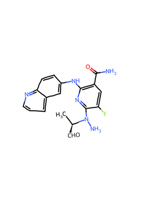 C[C@H](C=O)N(N)c1nc(Nc2ccc3ncccc3c2)c(C(N)=O)cc1F